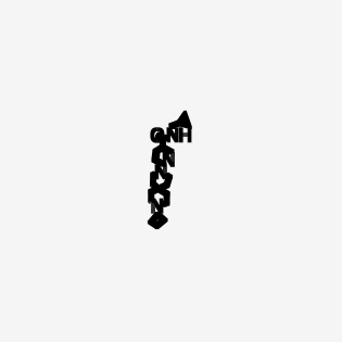 O=C(NCC1CC1)c1ccc(N2CCC3(CC2)CCN(C2CCC2)CC3)nc1